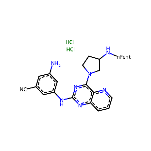 CCCCCNC1CCN(c2nc(Nc3cc(N)cc(C#N)c3)nc3cccnc23)C1.Cl.Cl